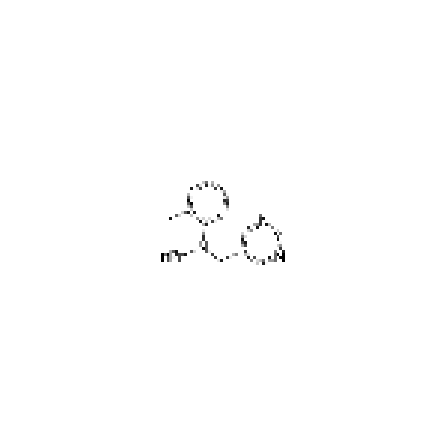 CCCN(Cc1cncnc1)c1ccccc1C